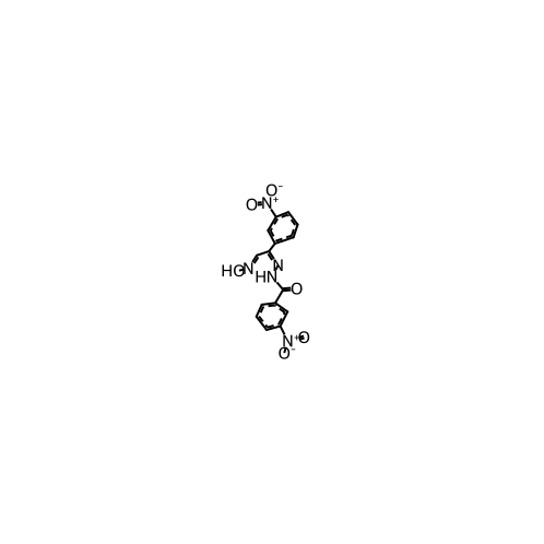 O=C(NN=C(C=NO)c1cccc([N+](=O)[O-])c1)c1cccc([N+](=O)[O-])c1